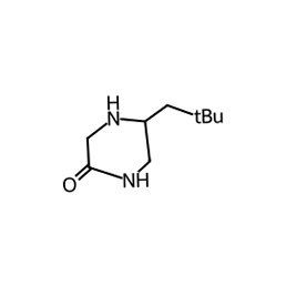 CC(C)(C)CC1CNC(=O)CN1